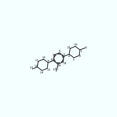 CC1CCC(c2ccc(C3CCC(C)CC3)c(F)c2)CC1